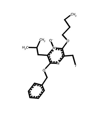 CCCCOc1c(CI)nc(OCc2ccccc2)c(CC(C)C)[n+]1[O-]